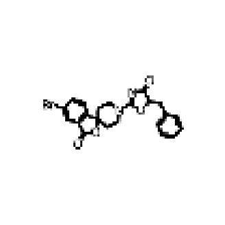 O=C1OC2(CCN(C3=NC(=O)C(Cc4ccccc4)O3)CC2)c2ccc(Br)cc21